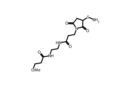 BSC1CC(=O)N(CCC(=O)NCCNC(=O)CCOC)C1=O